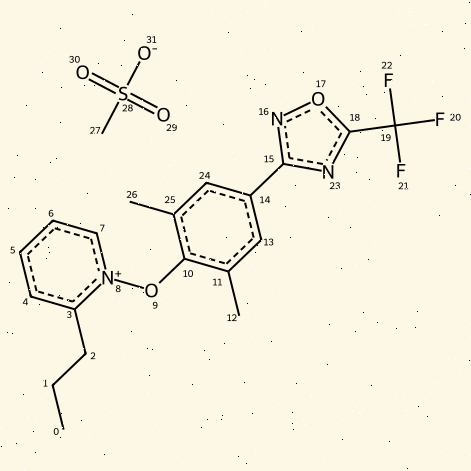 CCCc1cccc[n+]1Oc1c(C)cc(-c2noc(C(F)(F)F)n2)cc1C.CS(=O)(=O)[O-]